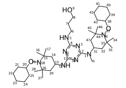 CN(c1nc(NCCCO)nc(NC2CC(C)(C)N(OC3CCCCC3)C(C)(C)C2)n1)C1CC(C)(C)N(OC2CCCCC2)C(C)(C)C1